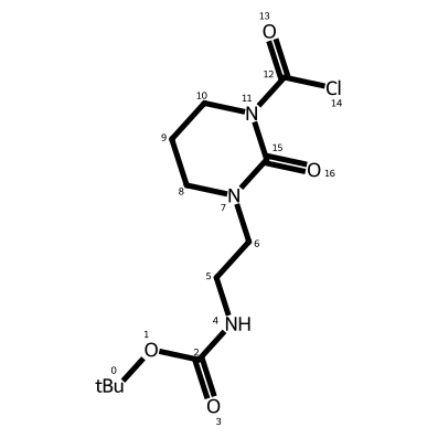 CC(C)(C)OC(=O)NCCN1CCCN(C(=O)Cl)C1=O